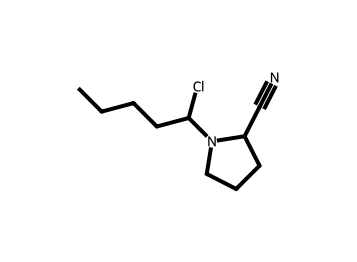 CCCCC(Cl)N1CCCC1C#N